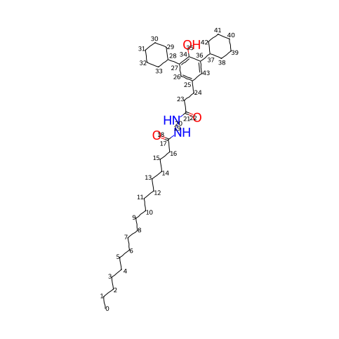 CCCCCCCCCCCCCCCCCC(=O)NNC(=O)CCc1cc(C2CCCCC2)c(O)c(C2CCCCC2)c1